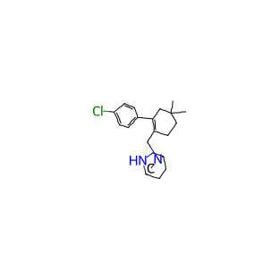 CC1(C)CCC(CN2CC3CCC2CN3)=C(c2ccc(Cl)cc2)C1